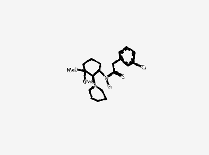 CCN(C(=S)Cc1cccc(Cl)c1)C1CCCC(OC)(OC)C1N1CCCCC1